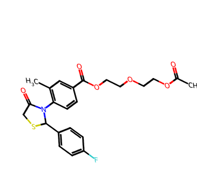 CC(=O)OCCOCCOC(=O)c1ccc(N2C(=O)CSC2c2ccc(F)cc2)c(C)c1